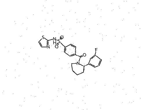 O=C(c1ccc(S(=O)(=O)Nc2nccs2)cc1)N1CCCCC1c1cccc(F)c1